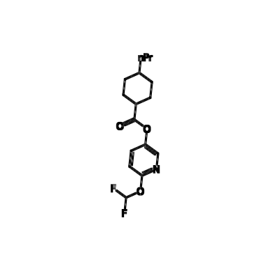 CCCC1CCC(C(=O)Oc2ccc(OC(F)F)nc2)CC1